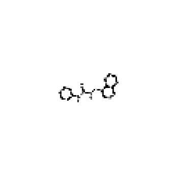 O=C(NCc1cccc2ccccc12)Nc1ccccc1